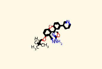 CC(C)(C)COc1ccc2c(c1C#N)[C@]1(COC(N)=N1)c1cc(-c3cccnc3)ccc1O2